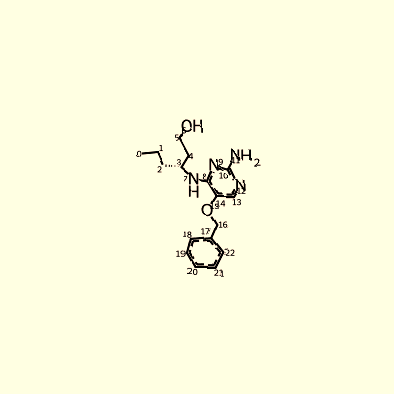 CCC[C@H](CCO)Nc1nc(N)ncc1OCc1ccccc1